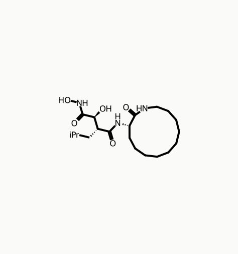 CC(C)C[C@@H](C(=O)N[C@H]1CCCCCCCCCCNC1=O)[C@H](O)C(=O)NO